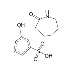 O=C1CCCCCN1.O=S(=O)(O)c1cccc(O)c1